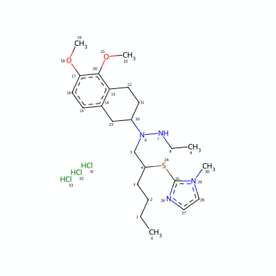 CCCCC(CN(NCC)C1CCc2c(ccc(OC)c2OC)C1)Sc1nccn1C.Cl.Cl.Cl